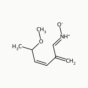 C=C(/C=C\C(C)OC)/C=[NH+]/[O-]